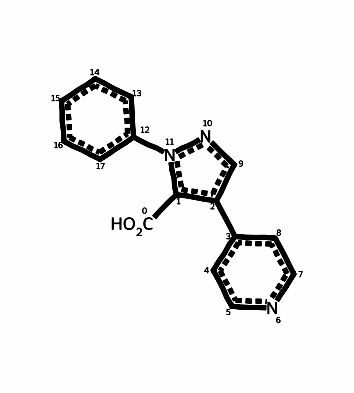 O=C(O)c1c(-c2ccncc2)cnn1-c1ccccc1